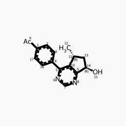 CC(=O)c1ccc(-c2ncnc3c2[C@H](C)C[C@H]3O)cc1